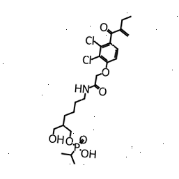 C=C(CC)C(=O)c1ccc(OCC(=O)NCCCCC(CO)COP(=O)(O)C(C)C)c(Cl)c1Cl